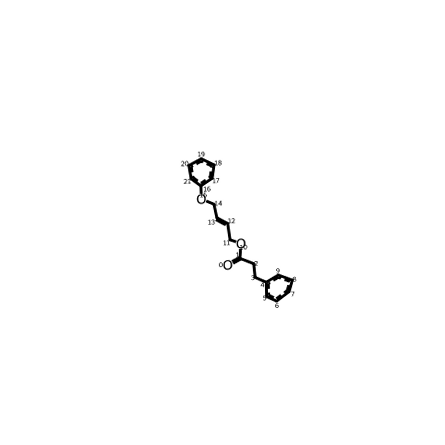 O=C(CCc1ccccc1)OCC=CCOc1ccccc1